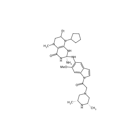 CCC1CN(C)C2=C(N[C@@](N)(Nc3cc4ccn(C(=O)CN5C[C@@H](C)N[C@@H](C)C5)c4cc3OC)NC2=O)N1C1CCCC1